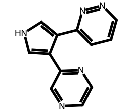 [c]1[nH]cc(-c2cnccn2)c1-c1cccnn1